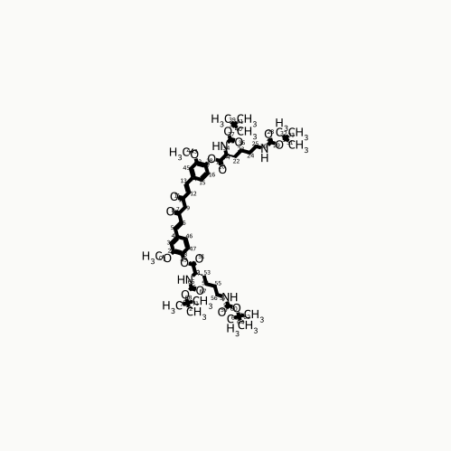 COc1cc(C=CC(=O)CC(=O)C=Cc2ccc(OC(=O)[C@H](CCCCNC(=O)OC(C)(C)C)NC(=O)OC(C)(C)C)c(OC)c2)ccc1OC(=O)[C@H](CCCCNC(=O)OC(C)(C)C)NC(=O)OC(C)(C)C